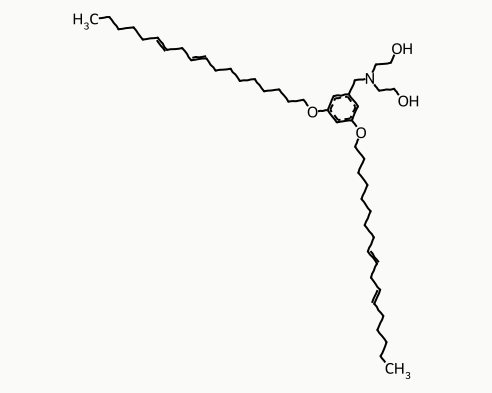 CCCCCC=CCC=CCCCCCCCCOc1cc(CN(CCO)CCO)cc(OCCCCCCCCC=CCC=CCCCCC)c1